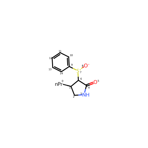 CCCC1CNC(=O)C1[S+]([O-])c1ccccc1